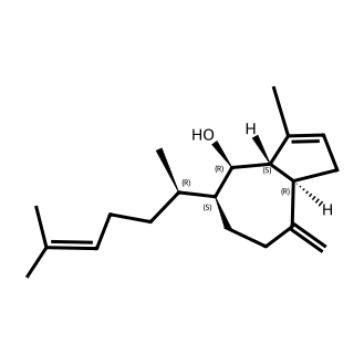 C=C1CC[C@@H]([C@H](C)CCC=C(C)C)[C@@H](O)[C@@H]2C(C)=CC[C@@H]12